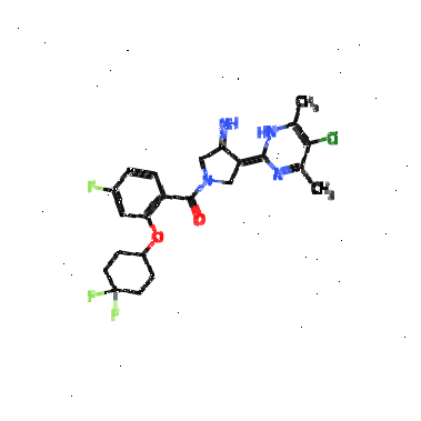 CC1=N/C(=C2\CN(C(=O)c3ccc(F)cc3OC3CCC(F)(F)CC3)CC2=N)NC(C)=C1Cl